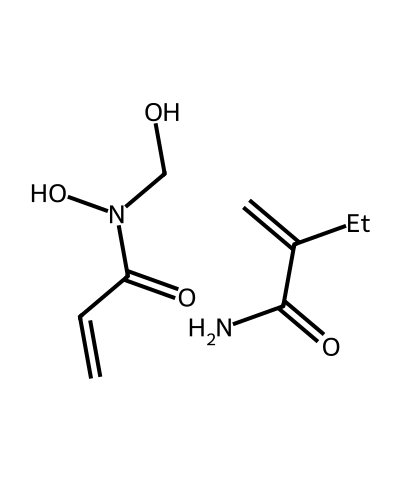 C=C(CC)C(N)=O.C=CC(=O)N(O)CO